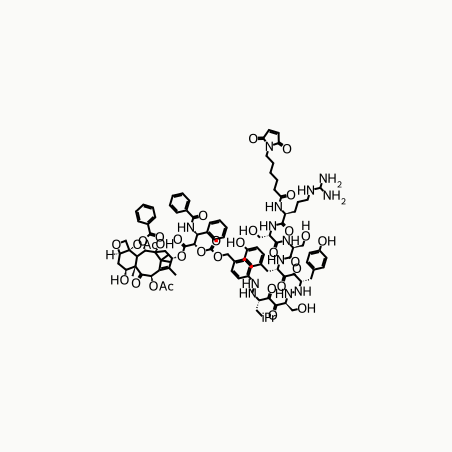 CC(=O)O[C@H]1C(=O)[C@@]2(C)C([C@H](OC(=O)c3ccccc3)[C@]3(O)C[C@H](OC(=O)[C@H](OC(=O)OCc4ccc(NN[C@@H](CC(C)C)C(=O)C(=O)[C@H](CO)NN[C@@H](Cc5ccc(O)cc5)C(=O)C(=O)[C@H](Cc5ccc(O)cc5)NC(=O)[C@H](CO)NC(=O)[C@H](CO)NC(=O)[C@H](CCCNC(N)N)NC(=O)CCCCCN5C(=O)C=CC5=O)cc4)[C@@H](NC(=O)c4ccccc4)c4ccccc4)C(C)=C1C3(C)C)[C@]1(OC(C)=O)CO[C@@H]1C[C@@H]2O